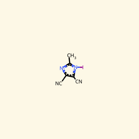 Cc1nc(C#N)c(C#N)n1I